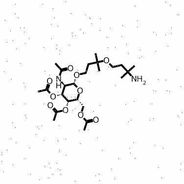 CC(=O)N[C@H]1[C@H](OCCC(C)(C)OCCC(C)(C)N)O[C@H](COC(C)=O)[C@H](OC(C)=O)[C@@H]1OC(C)=O